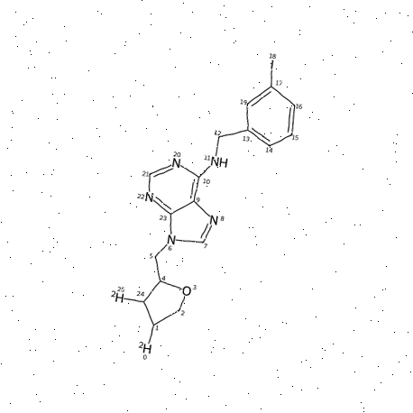 [2H]C1COC(Cn2cnc3c(NCc4cccc(I)c4)ncnc32)C1[2H]